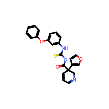 O=C(NC(=S)Nc1cccc(Oc2ccccc2)c1)C1(c2ccoc2)C=CC=NC1